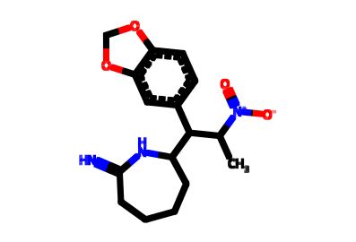 CC(C(c1ccc2c(c1)OCO2)C1CCCCC(=N)N1)[N+](=O)[O-]